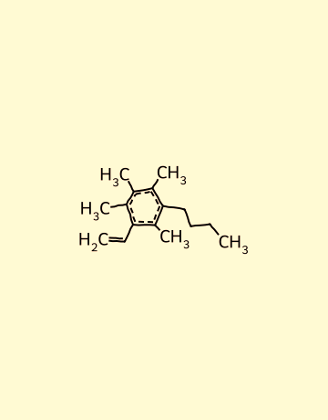 C=Cc1c(C)c(C)c(C)c(CCCC)c1C